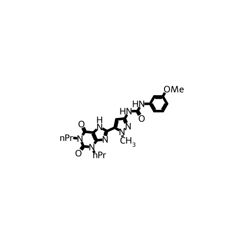 CCCn1c(=O)c2[nH]c(-c3cc(NC(=O)Nc4cccc(OC)c4)nn3C)nc2n(CCC)c1=O